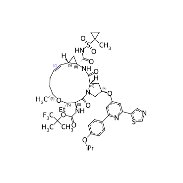 CC[C@@H]1O[C@H](C)CC/C=C\[C@@H]2C[C@@]2(C(=O)NS(=O)(=O)C2(C)CC2)NC(=O)[C@@H]2C[C@@H](Oc3cc(-c4ccc(OC(C)C)cc4)nc(-c4cncs4)c3)CN2C(=O)[C@H]1NC(=O)OC(C)(C)C(F)(F)F